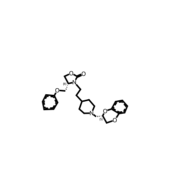 O=C1OC[C@@H](COc2ccccc2)N1CCC1CCN(C[C@H]2COc3ccccc3O2)CC1